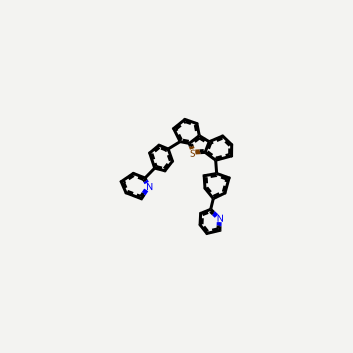 c1ccc(-c2ccc(-c3cccc4c3sc3c(-c5ccc(-c6ccccn6)cc5)cccc34)cc2)nc1